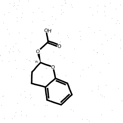 O=C(O)O[C@@H]1CCc2ccccc2O1